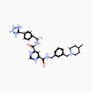 CC1CCN(Cc2cccc(CNC(=O)c3cc(C(=O)N[C@@H](C)c4ccc(-c5nnn[nH]5)cc4)ncn3)c2)CC1